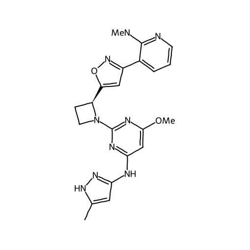 CNc1ncccc1-c1cc([C@@H]2CCN2c2nc(Nc3cc(C)[nH]n3)cc(OC)n2)on1